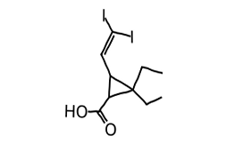 CCC1(CC)C(C=C(I)I)C1C(=O)O